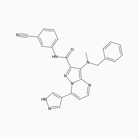 CN(Cc1ccccc1)c1c(C(=O)Nc2cccc(C#N)c2)nn2c(-c3cn[nH]c3)ccnc12